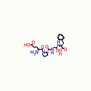 N[C@@H](CCC(=O)O)C(=O)N1CCC[C@H]1C(=O)NCC(=O)N[C@@H](Cc1ccccc1)C(=O)O